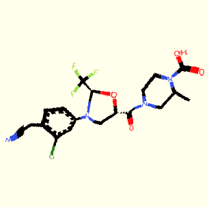 CC1CN(C(=O)[C@@H]2CN(c3ccc(C#N)c(Cl)c3)[C@@H](C(F)(F)F)O2)CCN1C(=O)O